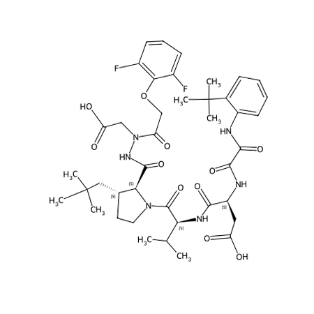 CC(C)[C@H](NC(=O)[C@H](CC(=O)O)NC(=O)C(=O)Nc1ccccc1C(C)(C)C)C(=O)N1CC[C@H](CC(C)(C)C)[C@H]1C(=O)NN(CC(=O)O)C(=O)COc1c(F)cccc1F